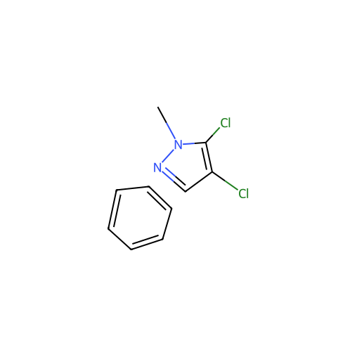 Cn1ncc(Cl)c1Cl.c1ccccc1